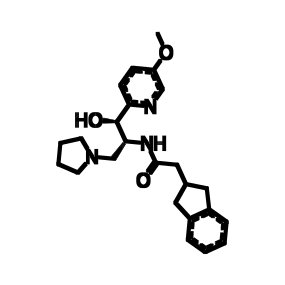 COc1ccc([C@H](O)[C@H](CN2CCCC2)NC(=O)CC2Cc3ccccc3C2)nc1